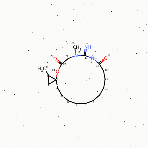 CC1CC12CCCCCCCCCCC(=O)NC(=N)N(C)CC(=O)O2